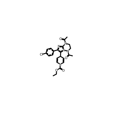 CCOC(=O)N1C=CC(c2c(-c3ccc(Cl)cc3)nc3n2N(C(C)=O)CCN3C(C)=O)C=C1